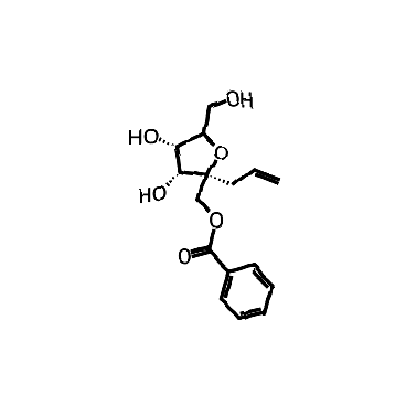 C=CC[C@@]1(COC(=O)c2ccccc2)OC(CO)[C@@H](O)[C@H]1O